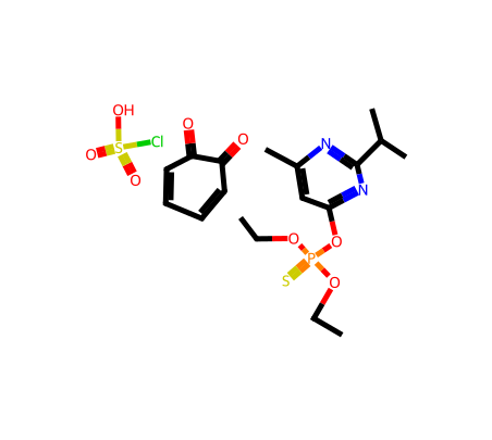 CCOP(=S)(OCC)Oc1cc(C)nc(C(C)C)n1.O=C1C=CC=CC1=O.O=S(=O)(O)Cl